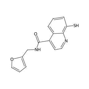 O=C(NCc1ccco1)c1ccnc2c(S)cccc12